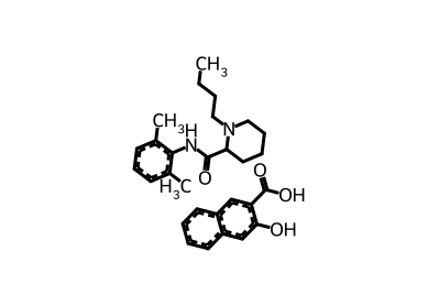 CCCCN1CCCCC1C(=O)Nc1c(C)cccc1C.O=C(O)c1cc2ccccc2cc1O